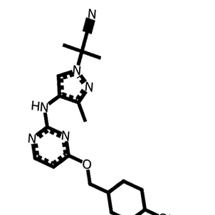 Cc1nn(C(C)(C)C#N)cc1Nc1nccc(OCC2CCC(O)CC2)n1